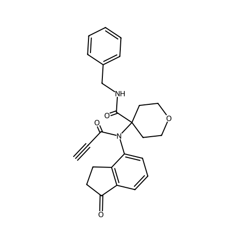 C#CC(=O)N(c1cccc2c1CCC2=O)C1(C(=O)NCc2ccccc2)CCOCC1